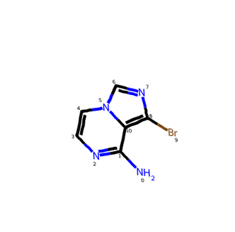 Nc1nccn2cnc(Br)c12